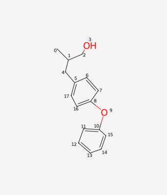 CC(CO)Cc1ccc(Oc2ccccc2)cc1